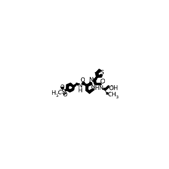 CC[C@@H](CO)NC(=O)c1c(-c2ccsc2)nc2c(C(=O)NCc3ccc(S(C)(=O)=O)cc3)cccn12